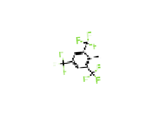 [CH]c1c(C(F)(F)F)cc(C(F)(F)F)cc1C(F)(F)F